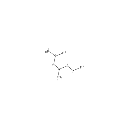 CCCC(F)CC(C)CCF